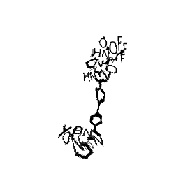 COC(=O)N[C@@H](CCC(F)(F)F)C(=O)N1CCC[C@H]1c1ncc(-c2ccc(-c3ccc(-c4cnc([C@@H]5CCCN5C(=O)OC(C)(C)C)[nH]4)cc3)cc2)[nH]1